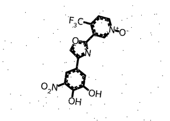 O=[N+]([O-])c1cc(-c2coc(-c3c[n+]([O-])ccc3C(F)(F)F)n2)cc(O)c1O